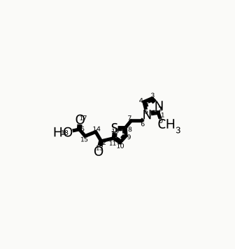 Cc1nccn1CCc1ccc(C(=O)CCC(=O)O)s1